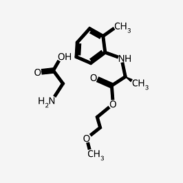 COCCOC(=O)[C@H](C)Nc1ccccc1C.NCC(=O)O